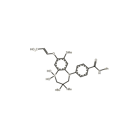 CCCCC1(CCCC)CN(c2ccc(C(=O)NC(C)C)cc2)c2cc(SC)c(OC=CC(=O)O)cc2S(O)(O)C1